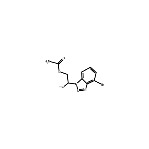 CC(C)(C)C(COC(N)=O)n1nnc2c(Br)cccc21